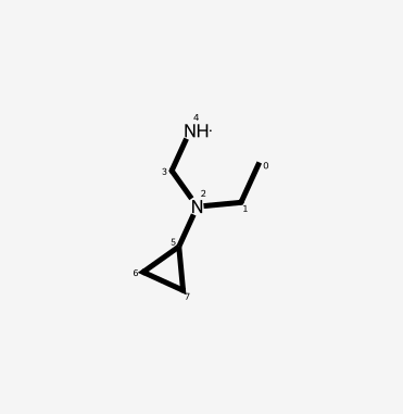 CCN(C[NH])C1CC1